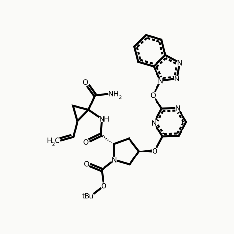 C=CC1CC1(NC(=O)[C@@H]1C[C@@H](Oc2ccnc(On3nnc4ccccc43)n2)CN1C(=O)OC(C)(C)C)C(N)=O